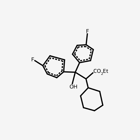 CCOC(=O)C(C1CCCCC1)C(O)(c1ccc(F)cc1)c1ccc(F)cc1